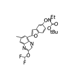 CCN(Oc1ccc2oc(-c3cc(C)cc4nc(OC(F)F)cnc34)cc2c1)C(=O)OC(C)(C)C